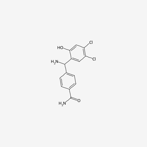 NC(=O)c1ccc(C(N)c2cc(Cl)c(Cl)cc2O)cc1